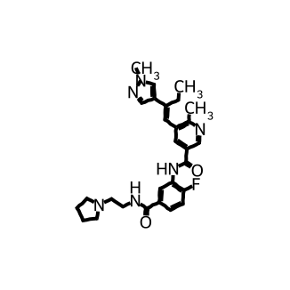 CC/C(=C\c1cc(C(=O)Nc2cc(C(=O)NCCN3CCCC3)ccc2F)cnc1C)c1cnn(C)c1